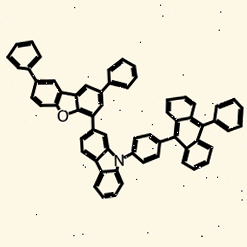 c1ccc(-c2ccc3oc4c(-c5ccc6c7ccccc7n(-c7ccc(-c8c9ccccc9c(-c9ccccc9)c9ccccc89)cc7)c6c5)cc(-c5ccccc5)cc4c3c2)cc1